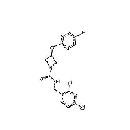 O=C(NCc1ccc(Cl)cc1Cl)N1CC(Oc2ncc(F)cn2)C1